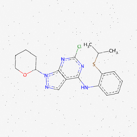 CC(C)Sc1ccccc1Nc1nc(Cl)nc2c1cnn2C1CCCCO1